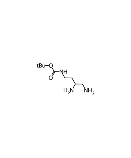 CC(C)(C)OC(=O)NCCC(N)CN